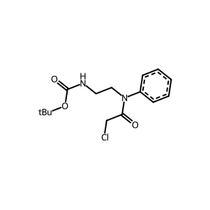 CC(C)(C)OC(=O)NCCN(C(=O)CCl)c1ccccc1